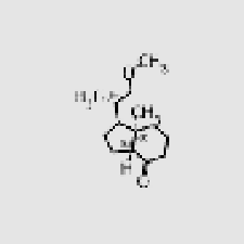 COC[C@@H](C)C1CC[C@H]2C(=O)CCC[C@]12C